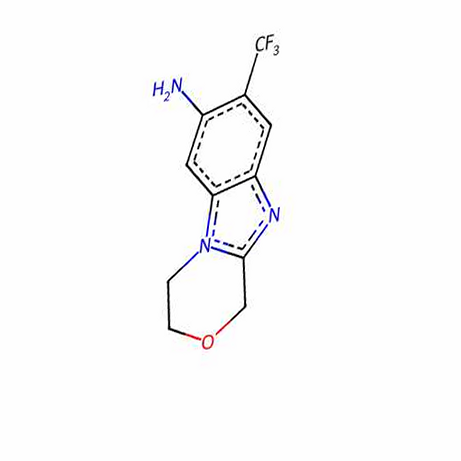 Nc1cc2c(cc1C(F)(F)F)nc1n2CCOC1